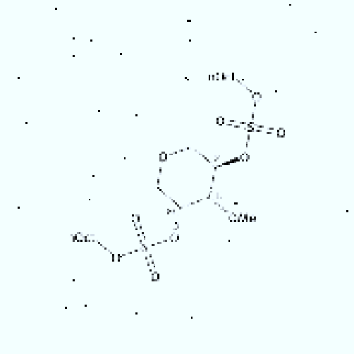 CCCCCCCCOS(=O)(=O)O[C@@H]1[CH]OC[C@@H](OS(=O)(=O)OCCCCCCCC)[C@@H]1OC